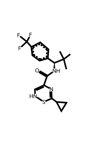 CC(C)(C)[C@@H](NC(=O)C1=CNSC(C2CC2)=N1)c1ccc(C(F)(F)F)cc1